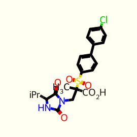 CC(C)C1NC(=O)N(CC(C)(C(=O)O)S(=O)(=O)c2ccc(-c3ccc(Cl)cc3)cc2)C1=O